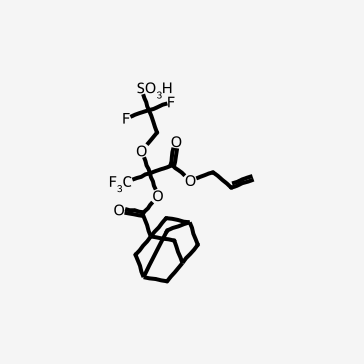 C=CCOC(=O)C(OCC(F)(F)S(=O)(=O)O)(OC(=O)C12CC3CC(CC(C3)C1)C2)C(F)(F)F